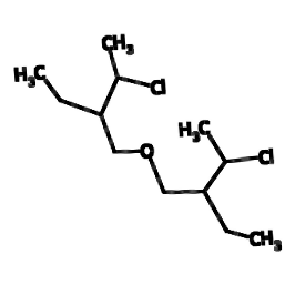 CCC(COCC(CC)C(C)Cl)C(C)Cl